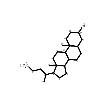 CCOC(=O)CCC(C)C1CCC2C3CCC4CC(O)CCC4(C)C3CCC12C